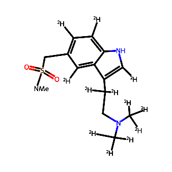 [2H]c1[nH]c2c([2H])c([2H])c(CS(=O)(=O)NC)c([2H])c2c1C([2H])([2H])CN(C([2H])([2H])[2H])C([2H])([2H])[2H]